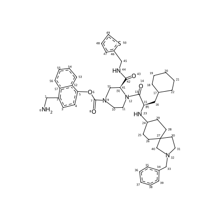 NCc1ccc(OC(=O)N2CCN(C(=O)[C@@H](CC3CCCCC3)NC3CCC4(CC3)CCN(Cc3ccccc3)C4)[C@H](C(=O)NCc3cccs3)C2)c2ccccc12